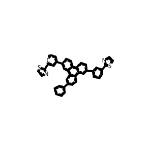 c1ccc(-c2ccc3c4cc(-c5cccc(-c6nccs6)c5)ccc4c4ccc(-c5cccc(-c6nccs6)c5)cc4c3c2)cc1